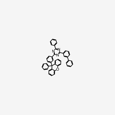 c1ccc(-c2cccc(-c3nc(-c4ccccc4)nc(-c4cccc(C5(c6ccccc6)c6ccccc6Oc6ccccc65)c4)n3)c2)cc1